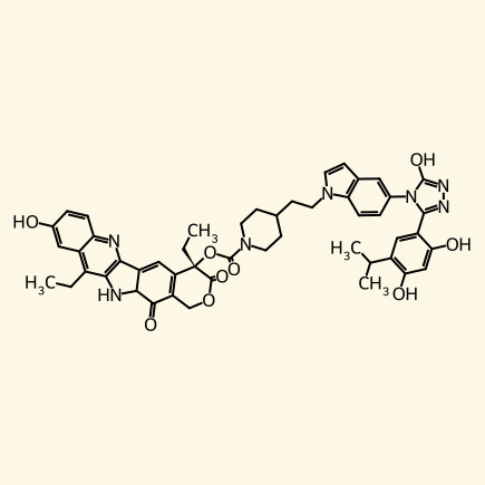 CCc1c2c(nc3ccc(O)cc13)C1=CC3=C(COC(=O)[C@@]3(CC)OC(=O)N3CCC(CCn4ccc5cc(-n6c(O)nnc6-c6cc(C(C)C)c(O)cc6O)ccc54)CC3)C(=O)C1N2